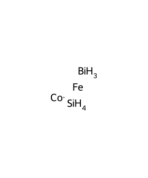 [BiH3].[Co].[Fe].[SiH4]